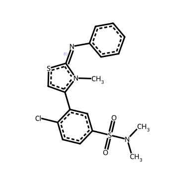 CN(C)S(=O)(=O)c1ccc(Cl)c(-c2cs/c(=N/c3ccccc3)n2C)c1